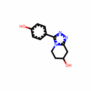 Oc1ccc(-c2nnc3n2CCC(O)C3)cc1